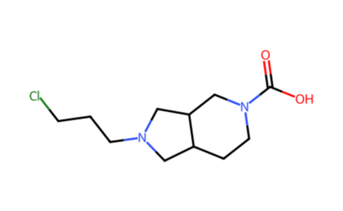 O=C(O)N1CCC2CN(CCCCl)CC2C1